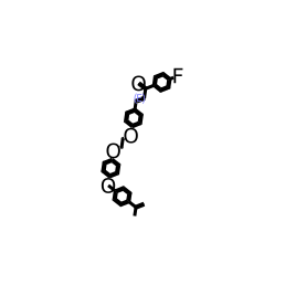 C=C(C)c1ccc(Oc2ccc(OCCOc3ccc(/C=C/C(=O)c4ccc(F)cc4)cc3)cc2)cc1